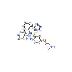 CN(C)CCOc1ccc(Nc2nc3c(-c4nnc[nH]4)cccc3c3cnccc23)c(Cl)c1